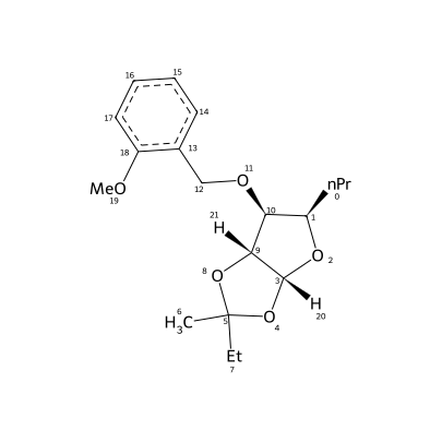 CCC[C@H]1O[C@@H]2OC(C)(CC)O[C@@H]2[C@H]1OCc1ccccc1OC